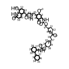 COc1cc(NC(=O)OC[C@H]2CCN(C(=O)CCN3CCC(OC(=O)Nc4ccccc4-c4ccccc4)CC3)C2)c(Cl)cc1CNC[C@H](O)c1ccc(O)c2[nH]c(=O)ccc12